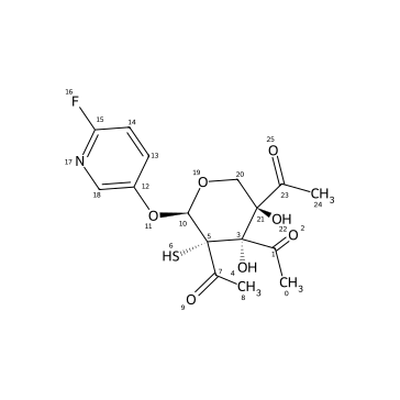 CC(=O)[C@@]1(O)[C@@](S)(C(C)=O)[C@@H](Oc2ccc(F)nc2)OC[C@]1(O)C(C)=O